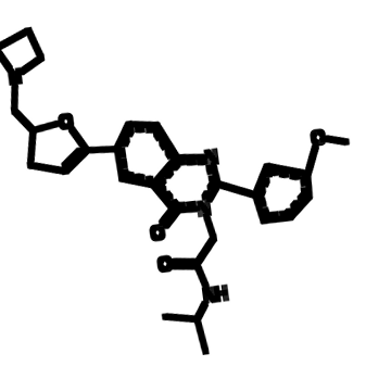 COc1cccc(-c2nc3ccc(C4=CCC(CN5CCC5)O4)cc3c(=O)n2CC(=O)NC(C)C)c1